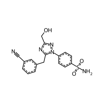 N#Cc1cccc(Cc2nc(CO)nn2-c2ccc(S(N)(=O)=O)cc2)c1